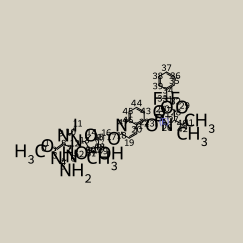 COc1nc(N)nc2c1nc(I)n2C1O[C@H](COc2ccc3c(O/[P+]([O-])=N/C(C(=O)OC(F)(F)c4ccccc4)C(C)C)cccc3n2)[C@@H](O)[C@@]1(C)O